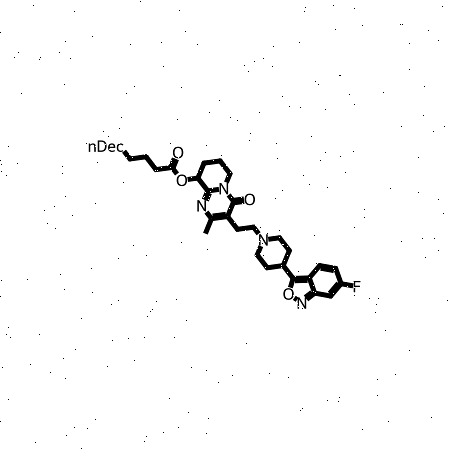 CCCCCCCCCCCCCC(=O)OC1CCCn2c1nc(C)c(CCN1CCC(c3onc4cc(F)ccc34)CC1)c2=O